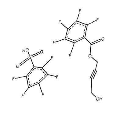 O=C(OCC#CCO)c1c(F)c(F)c(F)c(F)c1F.O=S(=O)(O)c1c(F)c(F)c(F)c(F)c1F